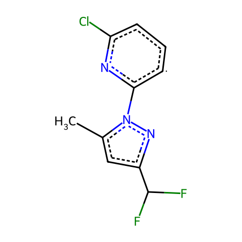 Cc1cc(C(F)F)nn1-c1[c]ccc(Cl)n1